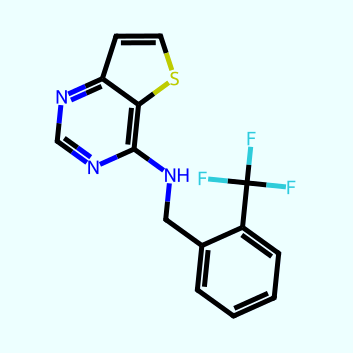 FC(F)(F)c1ccccc1CNc1ncnc2ccsc12